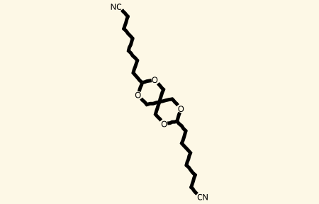 N#CCCCCCCC1OCC2(CO1)COC(CCCCCCC#N)OC2